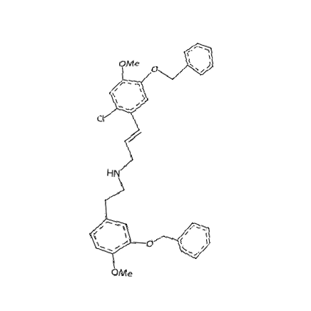 COc1ccc(CCNC/C=C/c2cc(OCc3ccccc3)c(OC)cc2Cl)cc1OCc1ccccc1